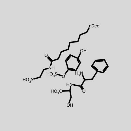 CCCCCCCCCCCCCCCCCC(=O)NCCS(=O)(=O)O.NC(Cc1ccccc1)C(=O)NC(CO)C(=O)O.O=S(=O)(O)Oc1ccc(O)cc1